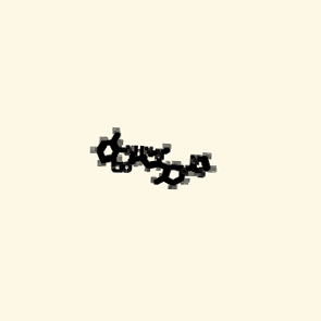 CC1=C(c2cc(C(=O)Nc3c(C)cccc3Cl)nn2C)CN(c2nccs2)CC1